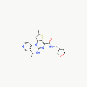 Cc1cc2nc(NC(C)c3cccnc3)nc(C(=O)NC[C@@H]3CCOC3)c2s1